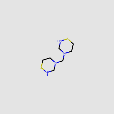 C1CN(CN2CCSNC2)CNS1